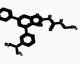 CCNC(=O)Nc1nc2cc(-c3cccnc3)cc(-c3cc(N(C)C)ccn3)c2[nH]1